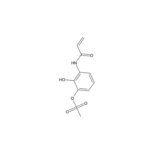 C=CC(=O)Nc1cccc(OS(C)(=O)=O)c1O